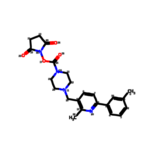 Cc1cccc(-c2ccc(CN3CCN(C(=O)ON4C(=O)CCC4=O)CC3)c(C)n2)c1